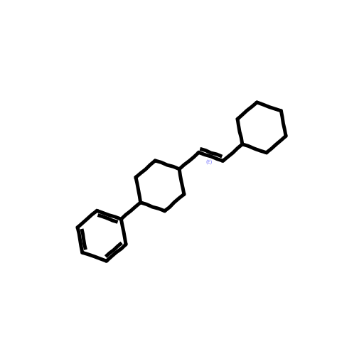 C(=C\C1CCC(c2ccccc2)CC1)/C1CCCCC1